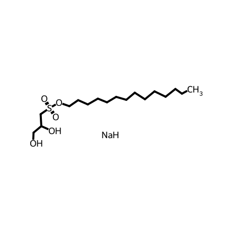 CCCCCCCCCCCCCCOS(=O)(=O)CC(O)CO.[NaH]